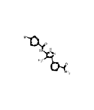 Cc1c(-c2cccc(C(N)=O)c2)n[nH]c1NC(=O)c1ccc(Br)cc1